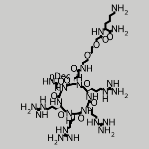 CCCCCCCCCCNC(=O)C[C@@H]1NC(=O)[C@H](CCC(=O)NCCOCCOCC(=O)NC(CCCCN)C(N)=O)NC(=O)[C@@H](CCCNC(=N)N)NC(=O)[C@H](CCCNC(=N)N)NC(=O)[C@@H](CCCNC(=N)N)NC(=O)[C@H](CCCNC(=N)N)NC1=O